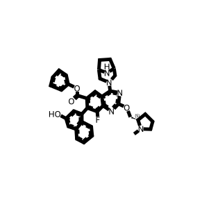 CN1CCC[C@H]1COc1nc(N2CC3CCC(C2)N3)c2cc(C(=O)Oc3ccccc3)c(-c3cc(O)cc4ccccc34)c(F)c2n1